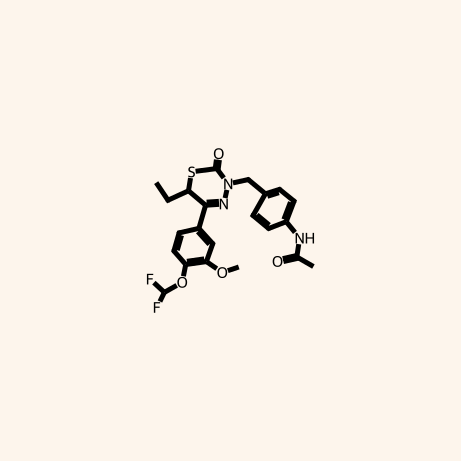 CCC1SC(=O)N(Cc2ccc(NC(C)=O)cc2)N=C1c1ccc(OC(F)F)c(OC)c1